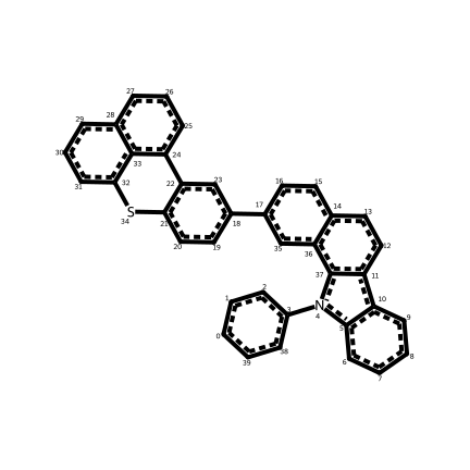 c1ccc(-n2c3ccccc3c3ccc4ccc(-c5ccc6c(c5)-c5cccc7cccc(c57)S6)cc4c32)cc1